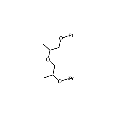 [CH2]C(C)OC(C)COC(C)COCC